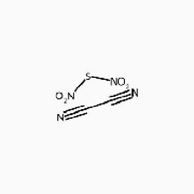 N#CC#N.O=[N+]([O-])S[N+](=O)[O-]